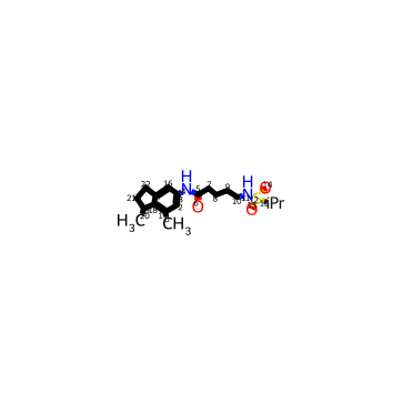 Cc1cc(NC(=O)CCCCNS(=O)(=O)C(C)C)cc2c1C(C)CC2